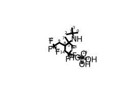 CC(C)(C)NC(C)(C)C(CC(F)(F)F)CC(F)(F)F.O=P(O)(O)O